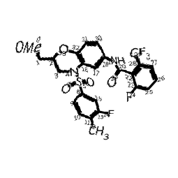 COCC1CN(S(=O)(=O)c2ccc(C)c(F)c2)c2cc(NC(=O)c3c(F)cccc3C(F)(F)F)ccc2O1